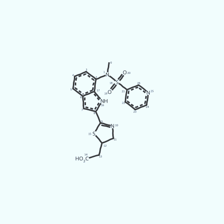 CN(c1cccc2cc(C3=NCC(CC(=O)O)S3)[nH]c12)S(=O)(=O)c1cccnc1